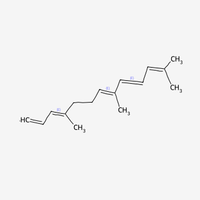 [CH]=C/C=C(\C)CC/C=C(C)/C=C/C=C(C)C